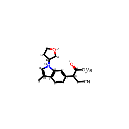 COC(=O)C(CC#N)c1ccc2c(C)cn(C3CCOC3)c2c1